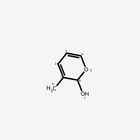 CC1=C[C]=COC1O